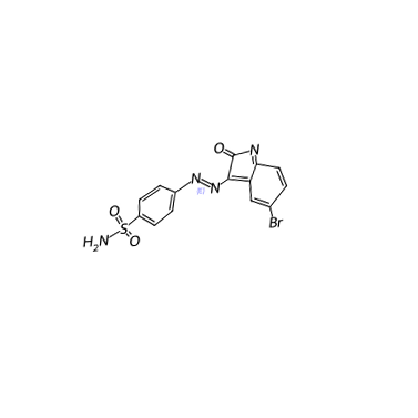 NS(=O)(=O)c1ccc(/N=N/C2=c3cc(Br)ccc3=NC2=O)cc1